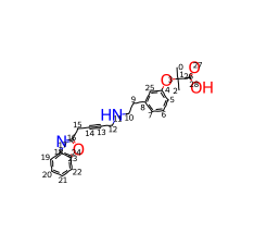 CC(C)(Oc1cccc(CCNCC#CCc2nc3ccccc3o2)c1)C(=O)O